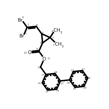 CC1(C)C(C=C(Br)Br)C1C(=O)OCc1cccc(-c2ccccc2)c1